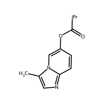 Cc1cnc2ccc(OC(=O)C(C)C)cn12